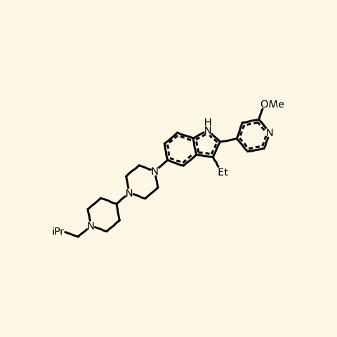 CCc1c(-c2ccnc(OC)c2)[nH]c2ccc(N3CCN(C4CCN(CC(C)C)CC4)CC3)cc12